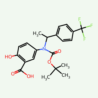 CC(c1ccc(C(F)(F)F)cc1)N(C(=O)OC(C)(C)C)c1ccc(O)c(C(=O)O)c1